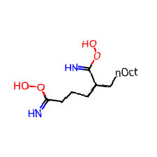 CCCCCCCCCC(CCCC(=N)OO)C(=N)OO